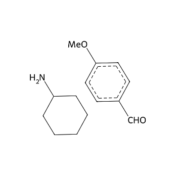 COc1ccc(C=O)cc1.NC1CCCCC1